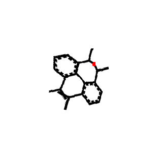 CC(C)c1cccc(C(C)C)c1-c1c(C(C)C)cccc1C(C)C